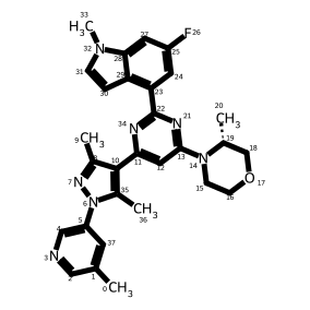 Cc1cncc(-n2nc(C)c(-c3cc(N4CCOC[C@H]4C)nc(-c4cc(F)cc5c4ccn5C)n3)c2C)c1